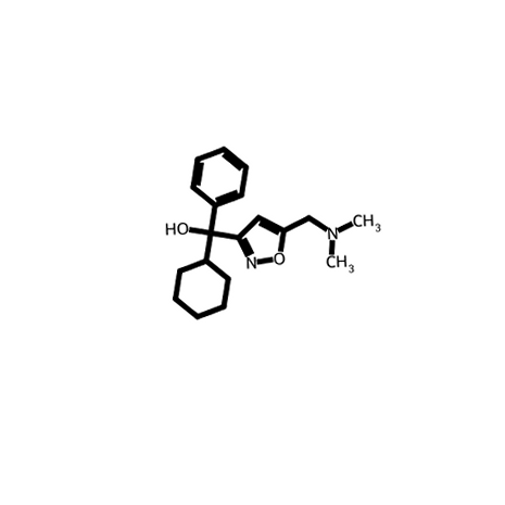 CN(C)Cc1cc(C(O)(c2ccccc2)C2CCCCC2)no1